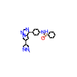 Cn1cc(-c2cc3c(-c4ccc(N[S+]([O-])c5ccccc5)cc4)ncnn3c2)cn1